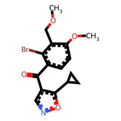 COCc1c(OC)ccc(C(=O)c2cnoc2C2CC2)c1Br